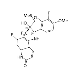 COc1ccc([C@H](NC2=CC(F)=CC3NC(=O)C=CC23)[C@](O)(CSC)C(F)(F)F)c(Cl)c1F